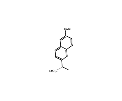 C[CH]OC(=O)[C@@H](C)c1ccc2cc(OC)ccc2c1